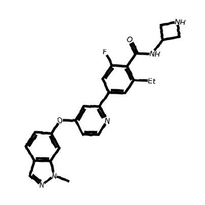 CCc1cc(-c2cc(Oc3ccc4cnn(C)c4c3)ccn2)cc(F)c1C(=O)NC1CNC1